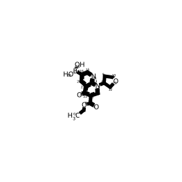 CCOC(=O)c1cn(C2CCOC2)c2ncc(B(O)O)cc2c1=O